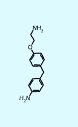 NCCOc1ccc(Cc2ccc(N)cc2)cc1